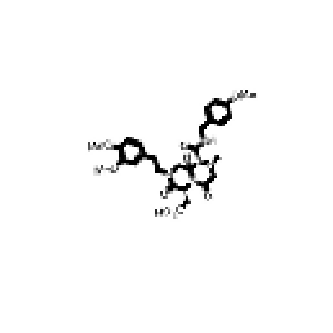 COc1ccc(CNC(=O)N2[C@H]3CN(CCc4ccc(OC)c(OC)c4)C(=O)[C@H](CC(=O)O)N3C(=O)CN2C)cc1